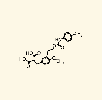 COc1ccc(CC(C(=O)O)C(=O)O)cc1CCOC(=O)Nc1ccc(C)cc1